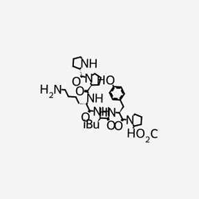 CC[C@H](C)[C@H](NC(=O)[C@H](CCCCN)NC(=O)[C@@H]1CCCN1C(=O)[C@@H]1CCCN1)C(=O)N[C@@H](Cc1ccc(O)cc1)C(=O)N1CCC[C@H]1C(=O)O